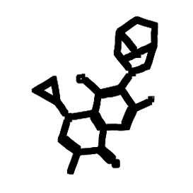 Cc1cn(C2CC2)c2c(Cl)c(N3CC4CCC(C3)N4C)c(F)cc2c1=O